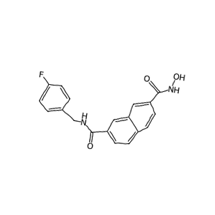 O=C(NO)c1ccc2ccc(C(=O)NCc3ccc(F)cc3)cc2c1